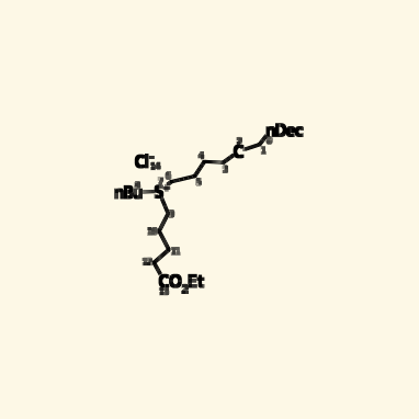 CCCCCCCCCCCCCCCC[S+](CCCC)CCCCC(=O)OCC.[Cl-]